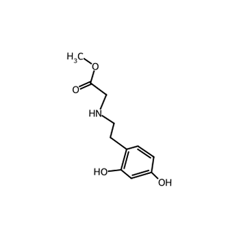 COC(=O)CNCCc1ccc(O)cc1O